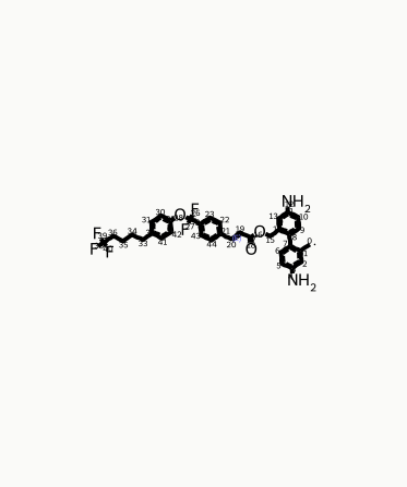 [CH2]c1cc(N)ccc1-c1ccc(N)cc1COC(=O)/C=C/c1ccc(C(F)(F)Oc2ccc(CCCCC(F)(F)F)cc2)cc1